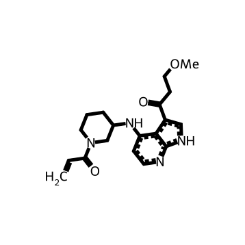 C=CC(=O)N1CCCC(Nc2ccnc3[nH]cc(C(=O)CCOC)c23)C1